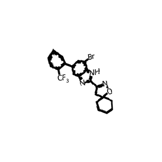 FC(F)(F)c1ccccc1-c1cc(Br)c2[nH]c(C3=NOC4(CCCCC4)C3)nc2c1